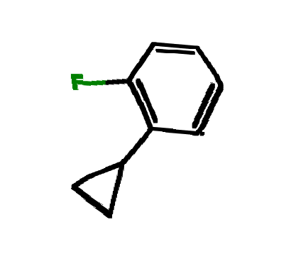 Fc1ccc[c]c1C1CC1